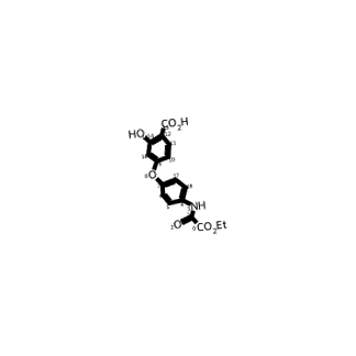 CCOC(=O)C(=O)Nc1ccc(Oc2ccc(C(=O)O)c(O)c2)cc1